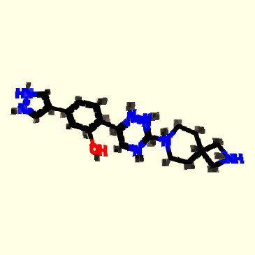 Oc1cc(-c2cn[nH]c2)ccc1-c1cnc(N2CCC3(CC2)CNC3)nn1